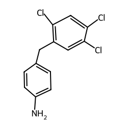 Nc1ccc(Cc2cc(Cl)c(Cl)cc2Cl)cc1